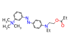 CCC(=O)OCCN(CC)c1ccc(/N=N/c2cccc([N+](C)(C)C)c2)cc1